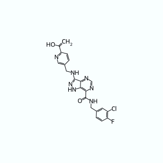 C=C(O)c1ccc(CNc2n[nH]c3c(C(=O)NCc4ccc(F)c(Cl)c4)ncnc23)cn1